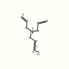 C=CCN(CC=C)C/C=C/C